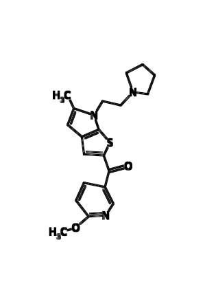 COc1ccc(C(=O)c2cc3cc(C)n(CCN4CCCC4)c3s2)cn1